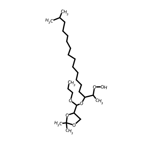 CCCOC(OC(CCCCCCCCCCCCC(C)C)C(C)OO)C1COC(C)(C)O1